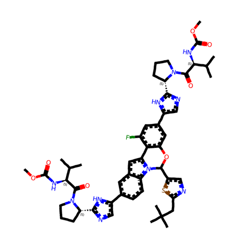 COC(=O)N[C@H](C(=O)N1CCC[C@H]1c1ncc(-c2cc(F)c3c(c2)OC(c2cnc(CC(C)(C)C)s2)n2c-3cc3cc(-c4cnc([C@@H]5CCCN5C(=O)[C@@H](NC(=O)OC)C(C)C)[nH]4)ccc32)[nH]1)C(C)C